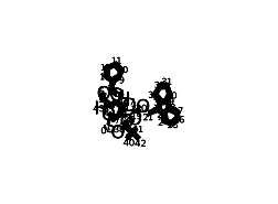 CS[C@@H]1O[C@@H]2COC(c3ccccc3)O[C@@H]2[C@H](OC(=O)OCC2c3ccccc3-c3ccccc32)[C@H]1OC(=O)C(C)(C)C